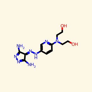 NC1=NN=C(N)C1=NNc1ccc(N(CCO)CCO)nc1